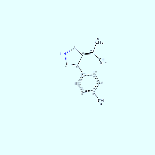 Cc1ccc(C2CNC[C@H]2C(C)C)cc1